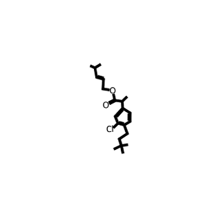 CC(C)/C=C/COC(=O)C(C)c1ccc(CCC(C)(C)C)c(Cl)c1